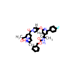 Cc1cc2cc(C(=O)N3C[C@@H]4C(Oc5cc(C(C)(C)NC(=O)OCc6ccccc6)cc(-c6ccc(F)cc6)n5)[C@@H]4C3)cc(C(C)O)n2n1